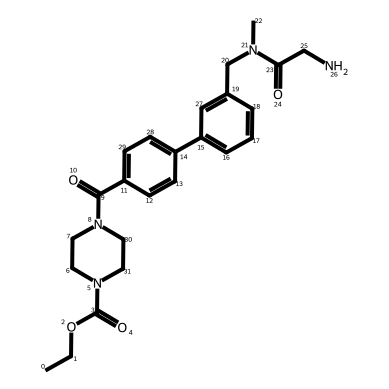 CCOC(=O)N1CCN(C(=O)c2ccc(-c3cccc(CN(C)C(=O)CN)c3)cc2)CC1